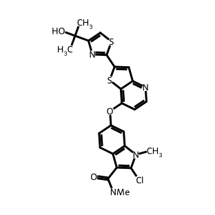 CNC(=O)c1c(Cl)n(C)c2cc(Oc3ccnc4cc(-c5nc(C(C)(C)O)cs5)sc34)ccc12